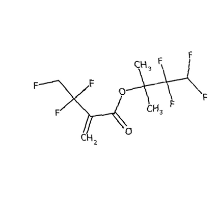 C=C(C(=O)OC(C)(C)C(F)(F)C(F)F)C(F)(F)CF